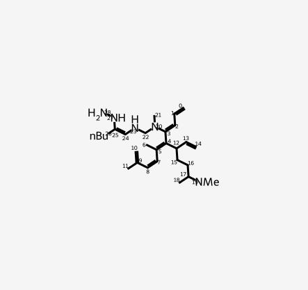 C=C/C=C(/C(=C(C)/C=C\C(=C)C)C(C=C)CCC(C)NC)N(C)CN/C=C(/CCCC)NN